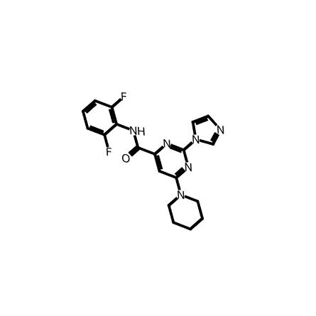 O=C(Nc1c(F)cccc1F)c1cc(N2CCCCC2)nc(-n2ccnc2)n1